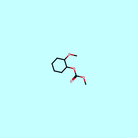 COC(=O)OC1CCCCC1OC